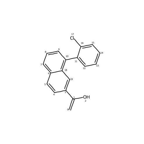 C=C(O)c1ccc2cccc(-c3ccccc3Cl)c2c1